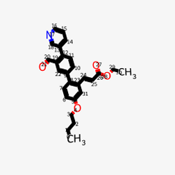 CCCCOc1ccc(-c2ccc(-c3cccnc3)c(C=O)c2)c(/C=C/C(=O)OCC)c1